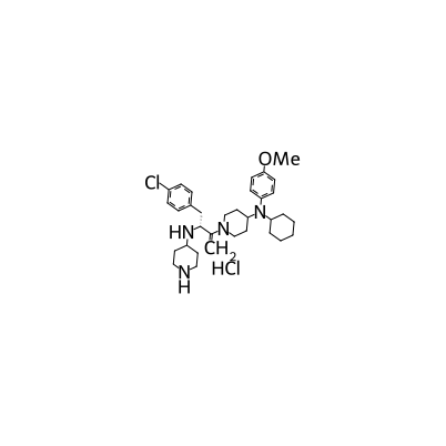 C=C([C@@H](Cc1ccc(Cl)cc1)NC1CCNCC1)N1CCC(N(c2ccc(OC)cc2)C2CCCCC2)CC1.Cl